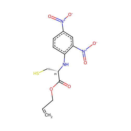 C=CCOC(=O)[C@H](CS)Nc1ccc([N+](=O)[O-])cc1[N+](=O)[O-]